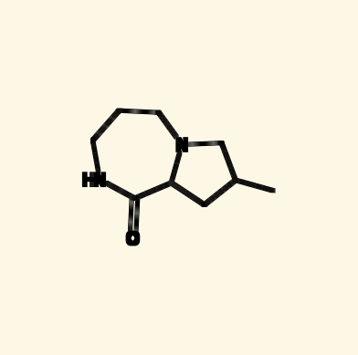 CC1CC2C(=O)NCCCN2C1